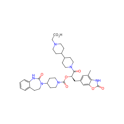 Cc1cc(C[C@@H](OC(=O)N2CCC(N3CCc4ccccc4NC3=O)CC2)C(=O)N2CCC(C3CCN(CC(=O)O)CC3)CC2)cc2oc(=O)[nH]c12